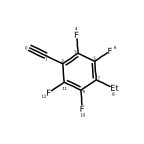 C#Cc1c(F)c(F)c(CC)c(F)c1F